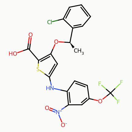 C[C@@H](Oc1cc(Nc2ccc(OC(F)(F)F)cc2[N+](=O)[O-])sc1C(=O)O)c1ccccc1Cl